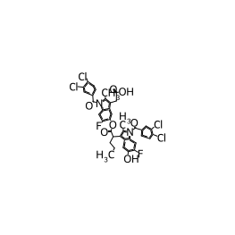 CCCC(C(=O)Oc1cc2c(CC(=O)O)c(C)n(C(=O)c3ccc(Cl)c(Cl)c3)c2cc1F)c1c(C)n(C(=O)c2ccc(Cl)c(Cl)c2)c2cc(F)c(O)cc12